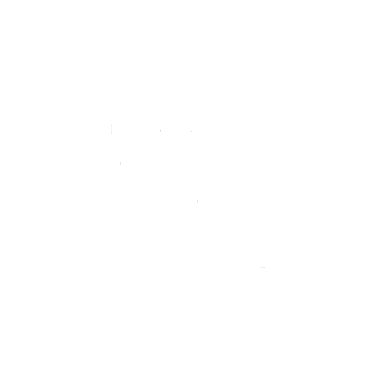 CC1(C)OC(=O)C(Cc2ccc(Br)cc2)C(=O)O1